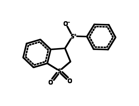 O=S1(=O)CC([S+]([O-])c2ccccc2)c2ccccc21